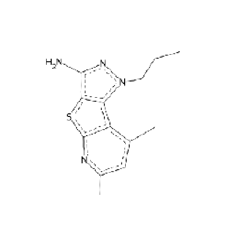 CCCn1nc(N)c2sc3nc(C)cc(C)c3c21